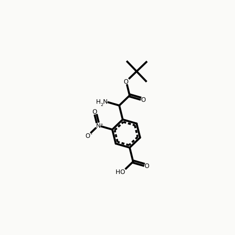 CC(C)(C)OC(=O)C(N)c1ccc(C(=O)O)cc1[N+](=O)[O-]